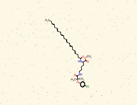 CCC=CCC=CCC=CCC=CCC=CCC=CCCC(=O)NC(CCCCNC(=O)C(C)(C)Oc1ccc(Cl)cc1)C(=O)OC